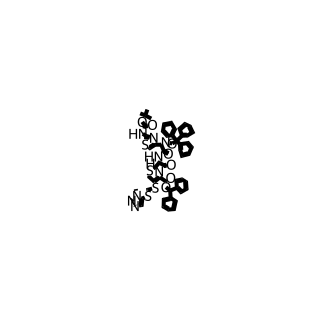 Cn1nncc1SCSC1=C(C(=O)OC(c2ccccc2)c2ccccc2)N2C(=O)[C@@H](NC(=O)/C(=N\OC(c3ccccc3)(c3ccccc3)c3ccccc3)c3csc(NC(=O)OC(C)(C)C)n3)[C@@H]2SC1